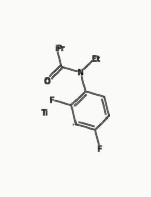 CCN(C(=O)C(C)C)c1ccc(F)[c]c1F.[Ti]